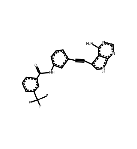 Nc1ncnc2[nH]cc(C#Cc3cccc(NC(=O)c4cccc(C(F)(F)F)c4)c3)c12